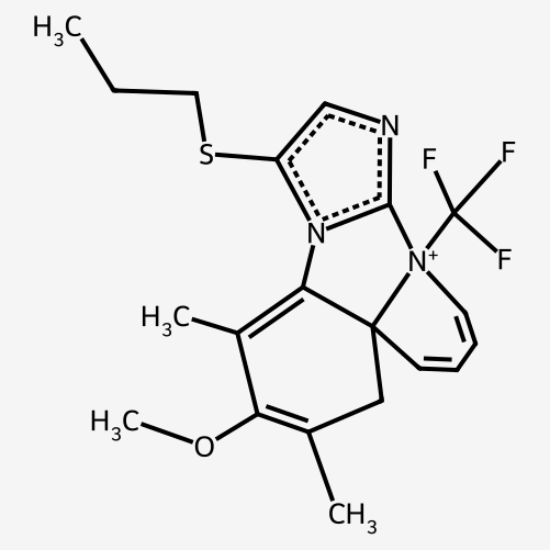 CCCSc1cnc2n1C1=C(C)C(OC)=C(C)CC13C=CC=C[N+]23C(F)(F)F